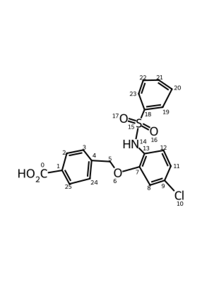 O=C(O)c1ccc(COc2cc(Cl)ccc2NS(=O)(=O)c2ccccc2)cc1